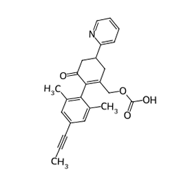 CC#Cc1cc(C)c(C2=C(COC(=O)O)CC(c3ccccn3)CC2=O)c(C)c1